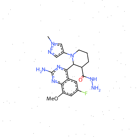 COc1cc(F)cc2c(C3C(C(=O)NN)CCCN3c3cnn(C)c3)nc(N)nc12